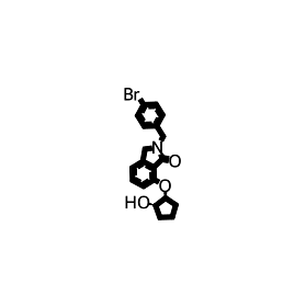 O=C1c2c(cccc2O[C@H]2CCC[C@@H]2O)CN1Cc1ccc(Br)cc1